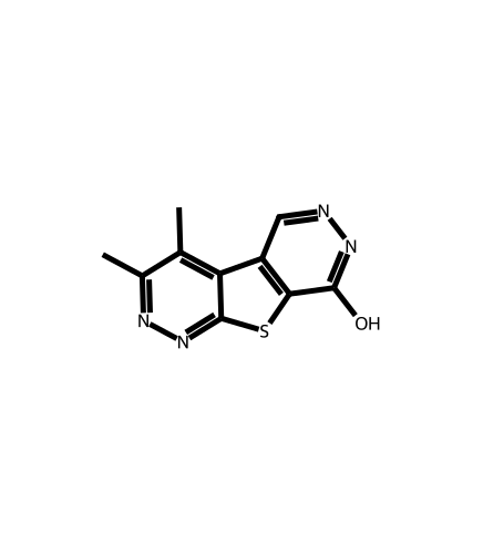 Cc1nnc2sc3c(O)nncc3c2c1C